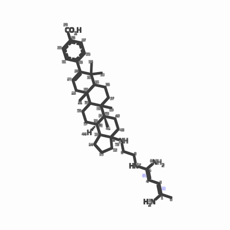 C/C(N)=C/C=C(\N)NCCNC12CCCC1[C@H]1CCC3C4(C)CC=C(c5ccc(C(=O)O)cc5)C(C)(C)C4CCC3(C)[C@]1(C)CC2